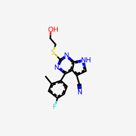 Cc1cc(F)ccc1-c1nc(SCCO)nc2[nH]cc(C#N)c12